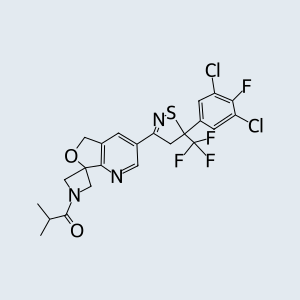 CC(C)C(=O)N1CC2(C1)OCc1cc(C3=NSC(c4cc(Cl)c(F)c(Cl)c4)(C(F)(F)F)C3)cnc12